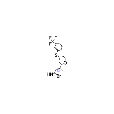 C/C(=C\C(=N)Br)C1CC(Sc2cccc(C(F)(F)F)c2)CCO1